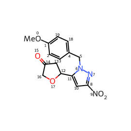 COc1ccc(Cn2nc([N+](=O)[O-])cc2C2CC(=O)CO2)cc1